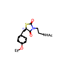 CCOc1ccc(/C=C2/SC(=O)N(CCNC(C)=O)C2=O)cc1